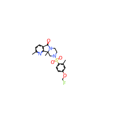 Cc1ccc2c(n1)C1(C)CN(S(=O)(=O)c3ccc(OCF)cc3C)CCN1C2=O